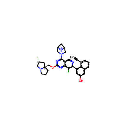 C#Cc1cccc2cc(O)cc(-c3ncc4c(N5CC6CC(C5)N6)nc(OC[C@@]56CCCN5C[C@H](F)C6)nc4c3F)c12